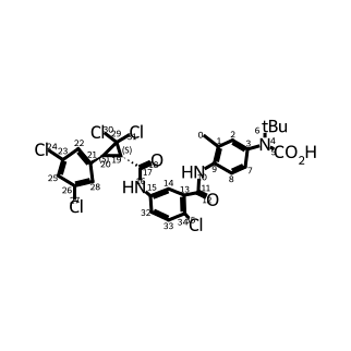 Cc1cc(N(C(=O)O)C(C)(C)C)ccc1NC(=O)c1cc(NC(=O)[C@@H]2[C@@H](c3cc(Cl)cc(Cl)c3)C2(Cl)Cl)ccc1Cl